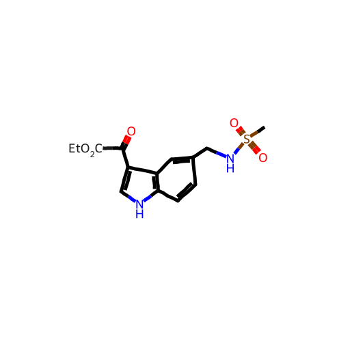 CCOC(=O)C(=O)c1c[nH]c2ccc(CNS(C)(=O)=O)cc12